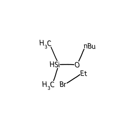 CCBr.CCCCO[SiH](C)C